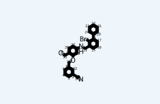 N#Cc1cccc(COc2cc(NCc3cccc(-c4ccccc4)c3Br)ccc2C=O)c1